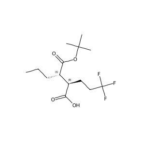 CCC[C@H](C(=O)OC(C)(C)C)[C@@H](CCC(F)(F)F)C(=O)O